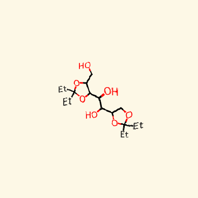 CCC1(CC)OCC(C(O)C(O)C2OC(CC)(CC)OC2CO)O1